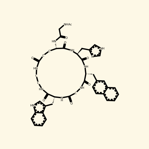 CC(=O)NCC(=O)N[C@H]1CCC(=O)NCCNC(=O)[C@@H](Cc2c[nH]c3ccccc23)NC(=O)CNC(=O)[C@@H](Cc2ccc3ccccc3c2)NC(=O)[C@H](Cc2c[nH]cn2)NC1=O